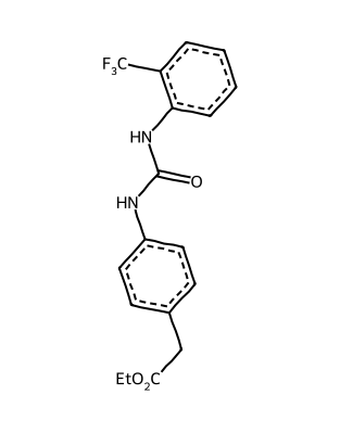 CCOC(=O)Cc1ccc(NC(=O)Nc2ccccc2C(F)(F)F)cc1